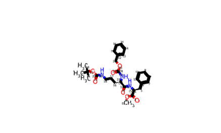 COC(=O)[C@H](Cc1ccccc1)NC(=O)[C@H](CCCNC(=O)OC(C)(C)C)NC(=O)OCc1ccccc1